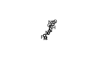 Cc1cc2c(-c3ccc4cnc(CNC(=O)c5ccc6c(c5)[C@](C)(C#N)COC6)cc4n3)ccc(F)c2n1C